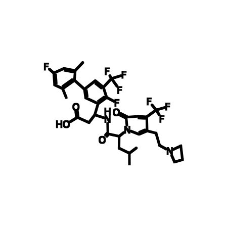 Cc1cc(F)cc(C)c1-c1cc(C(CC(=O)O)NC(=O)C(CC(C)C)n2cc(CCN3CCC3)c(C(F)(F)F)cc2=O)c(F)c(C(F)(F)F)c1